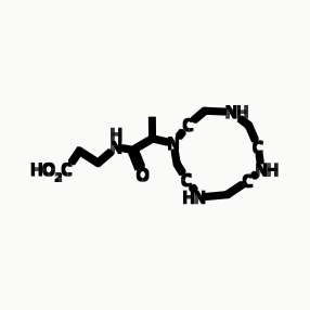 CC(C(=O)NCCC(=O)O)N1CCNCCNCCNCC1